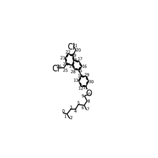 CC(C)CCCC(C)CCOc1ccc(-c2ccc3c(CCl)ccc(CCl)c3c2)cc1